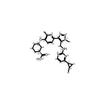 Cc1nc(-c2nnn(C)c2CNc2nccc(C3CC3C)n2)ccc1O[C@H]1CCC[C@H](C(=O)O)C1